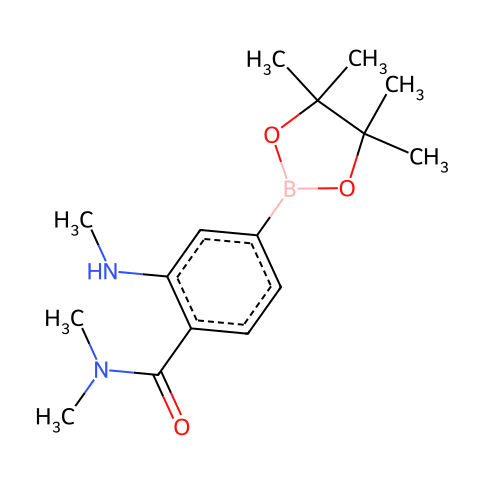 CNc1cc(B2OC(C)(C)C(C)(C)O2)ccc1C(=O)N(C)C